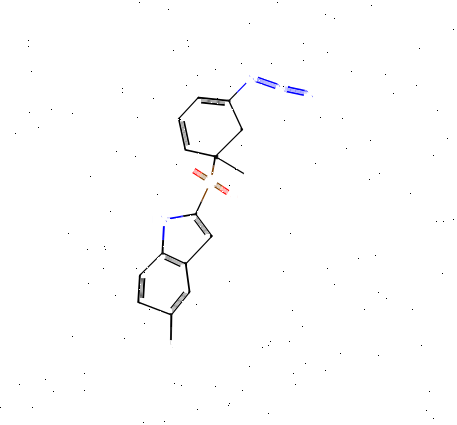 CC(=O)c1ccc2[nH]c(S(=O)(=O)C3(C)C=CC=C(N=[N+]=[N-])C3)cc2c1